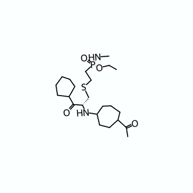 CCOP(=O)(CCSC[C@H](NC1CCCC(C(C)=O)CC1)C(=O)C1CCCCC1)NC